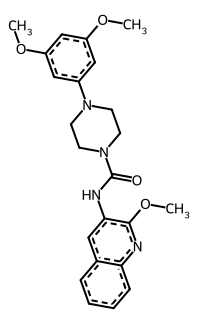 COc1cc(OC)cc(N2CCN(C(=O)Nc3cc4ccccc4nc3OC)CC2)c1